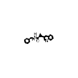 O=C(N/N=C/c1ccccc1)C1CC1c1cnc2ccccc2c1